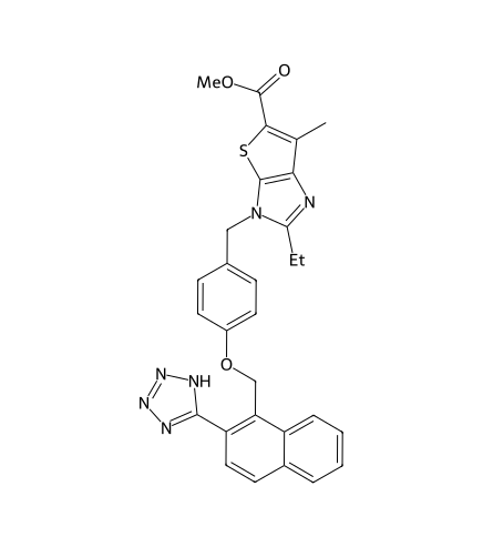 CCc1nc2c(C)c(C(=O)OC)sc2n1Cc1ccc(OCc2c(-c3nnn[nH]3)ccc3ccccc23)cc1